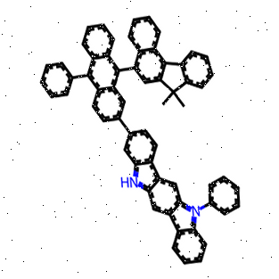 CC1(C)c2ccccc2-c2c1cc(-c1c3ccccc3c(-c3ccccc3)c3ccc(-c4ccc5c(c4)[nH]c4cc6c7ccccc7n(-c7ccccc7)c6cc45)cc13)c1ccccc21